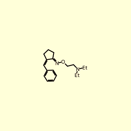 CCN(CC)CCON=C1CCCC1=Cc1ccccc1